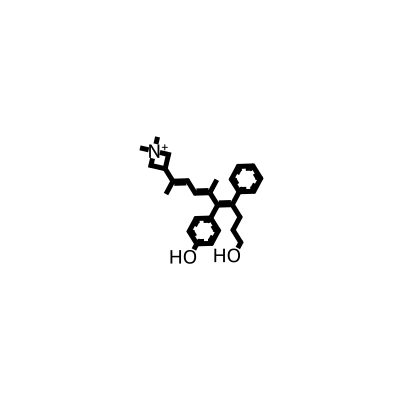 CC(=C\C=C(/C)C1C[N+](C)(C)C1)/C(=C(/CCCO)c1ccccc1)c1ccc(O)cc1